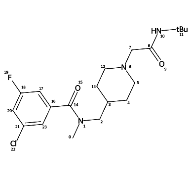 CN(CC1CCN(CC(=O)NC(C)(C)C)CC1)C(=O)c1cc(F)cc(Cl)c1